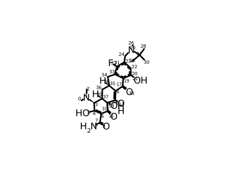 CN(C)[C@@H]1C(O)=C(C(N)=O)C(=O)[C@@]2(O)C(O)=C3C(=O)c4c(O)cc(CN(C)C(C)(C)C)c(F)c4C[C@H]3C[C@@H]12